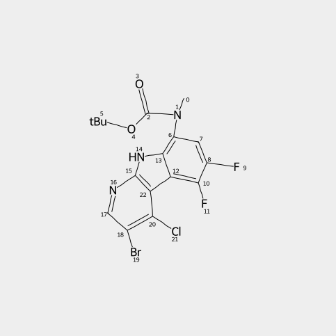 CN(C(=O)OC(C)(C)C)c1cc(F)c(F)c2c1[nH]c1ncc(Br)c(Cl)c12